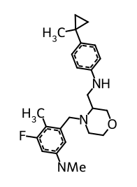 CNc1cc(F)c(C)c(CN2CCOCC2CNc2ccc(C3(C)CC3)cc2)c1